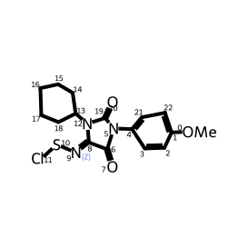 COc1ccc(N2C(=O)/C(=N/SCl)N(C3CCCCC3)C2=O)cc1